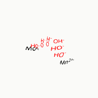 [Mn+2].[Mo+4].[OH-].[OH-].[OH-].[OH-].[OH-].[OH-]